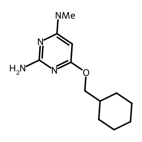 CNc1cc(OCC2CCCCC2)nc(N)n1